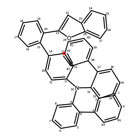 c1ccc(-c2ccccc2N(c2ccc(-c3ccccc3-c3cc4ccccc4o3)cc2)c2ccccc2-c2ccccc2)cc1